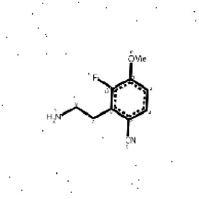 COc1ccc(C#N)c(CCN)c1F